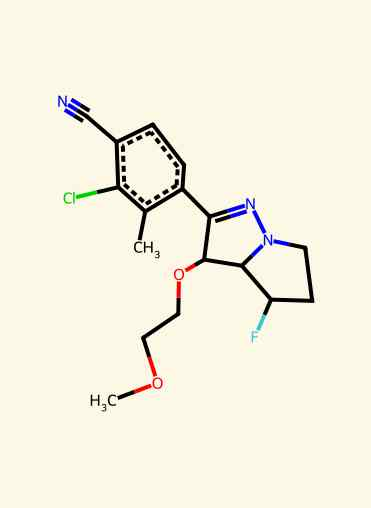 COCCOC1C(c2ccc(C#N)c(Cl)c2C)=NN2CCC(F)C12